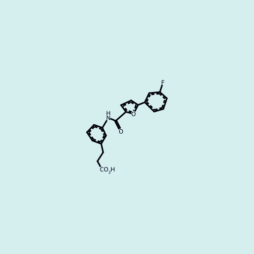 O=C(O)CCc1cccc(NC(=O)c2ccc(-c3cccc(F)c3)o2)c1